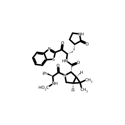 CC(C)[C@H](NC(=O)O)C(=O)N1C[C@H]2[C@@H]([C@H]1C(=O)N[C@@H](C[C@@H]1CCNC1=O)C(=O)c1nc3ccccc3s1)C2(C)C